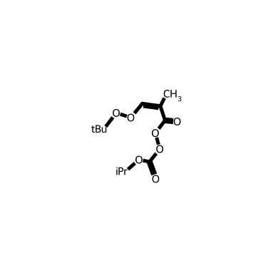 CC(=COOC(C)(C)C)C(=O)OOC(=O)OC(C)C